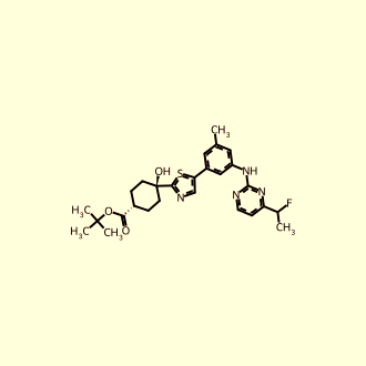 Cc1cc(Nc2nccc(C(C)F)n2)cc(-c2cnc([C@]3(O)CC[C@H](C(=O)OC(C)(C)C)CC3)s2)c1